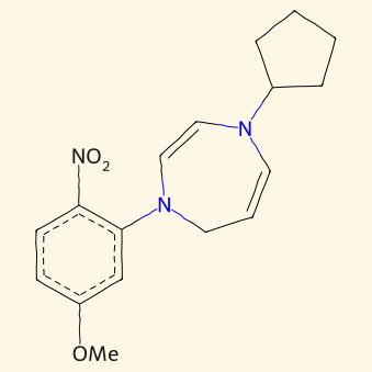 COc1ccc([N+](=O)[O-])c(N2C=CN(C3CCCC3)C=CC2)c1